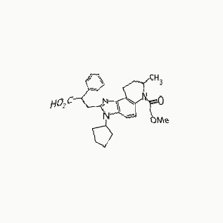 COC(=O)N1c2ccc3c(nc(CC(C(=O)O)c4ccccc4)n3C3CCCC3)c2CCC1C